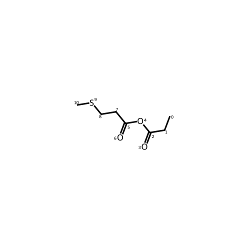 CCC(=O)OC(=O)CCSC